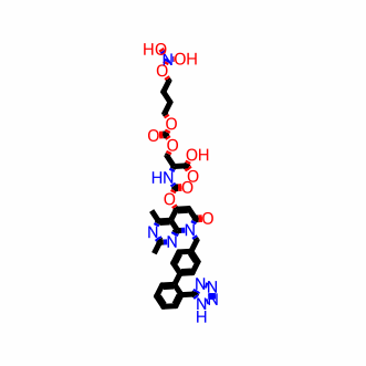 Cc1nc(C)c2c(OC(=O)NC(COC(=O)OCCCCON(O)O)C(=O)O)cc(=O)n(Cc3ccc(-c4ccccc4-c4nnn[nH]4)cc3)c2n1